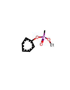 CCOP(C)(=O)Oc1ccccc1